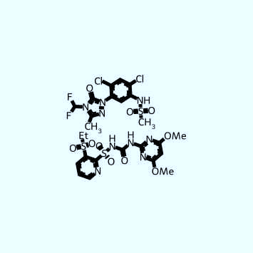 CCS(=O)(=O)c1cccnc1S(=O)(=O)NC(=O)Nc1nc(OC)cc(OC)n1.Cc1nn(-c2cc(NS(C)(=O)=O)c(Cl)cc2Cl)c(=O)n1C(F)F